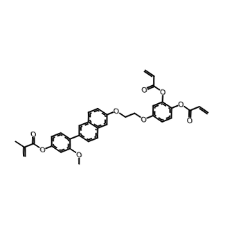 C=CC(=O)Oc1ccc(OCCOc2ccc3cc(-c4ccc(OC(=O)C(=C)C)cc4OC)ccc3c2)cc1OC(=O)C=C